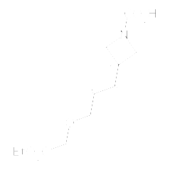 CCOC(=O)COCCCC1CN(C(=O)O)C1